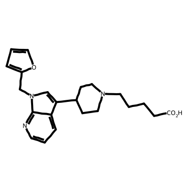 O=C(O)CCCCN1CCC(c2cn(Cc3ccco3)c3ncccc23)CC1